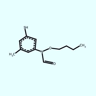 CCCCON(C=O)c1cc(C)cc(S)c1